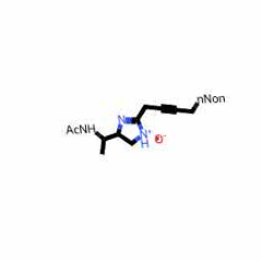 CCCCCCCCCCC#CCC1=NC(C(C)NC(C)=O)C[NH+]1[O-]